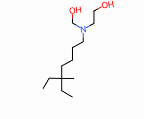 CCC(C)(CC)CCCCN(CO)CCO